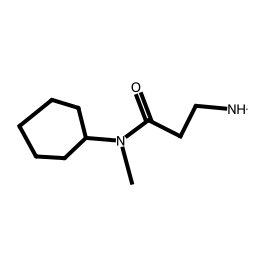 CN(C(=O)CC[NH])C1CCCCC1